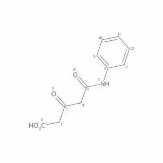 O=C(O)CC(=O)CC(=O)Nc1ccccc1